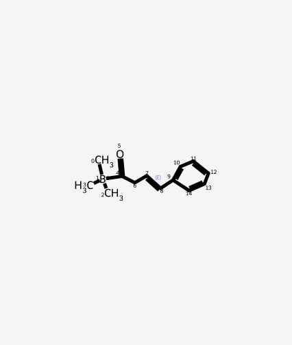 C[B-](C)(C)C(=O)C/C=C/c1ccccc1